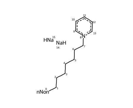 CCCCCCCCCCCCCCCC[n+]1ccccc1.[NaH].[NaH]